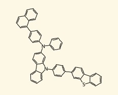 c1ccc(N(c2ccc(-c3cccc4ccccc34)cc2)c2ccc3c4ccccc4n(-c4ccc(-c5ccc6c(c5)sc5ccccc56)cc4)c3c2)cc1